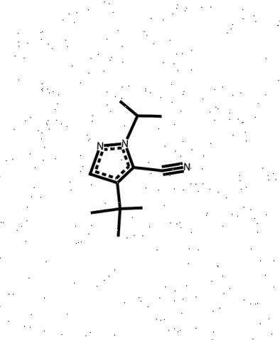 CC(C)n1ncc(C(C)(C)C)c1C#N